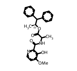 COc1ccnc(C(=O)NC(C)C(=O)O[C@@H](C)C(c2ccccc2)c2ccccc2)c1O